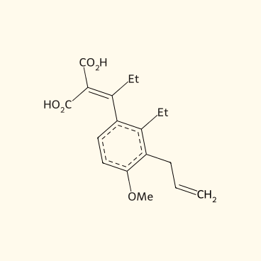 C=CCc1c(OC)ccc(C(CC)=C(C(=O)O)C(=O)O)c1CC